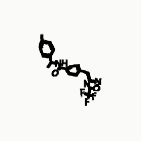 Cc1ccc(C(C)NC(=O)c2ccc(Cc3noc(C(F)(F)F)n3)cc2)cc1